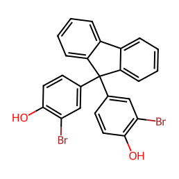 Oc1ccc(C2(c3ccc(O)c(Br)c3)c3ccccc3-c3ccccc32)cc1Br